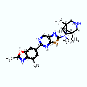 Cc1nc2c(C#N)cc(-c3ncc4nc(N(C)[C@H]5C6(C)CC[C@@]5(C)CNC6)sc4n3)cc2o1